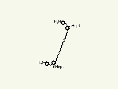 CCCCCCCc1cc(CCCCCCCCCCCCCCCCCCCc2ccc(Cc3ccc(N)cc3)c(CCCCCCC)c2)ccc1Cc1ccc(N)cc1